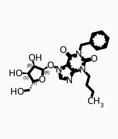 CCCCn1c(=O)n(Cc2ccccc2)c(=O)c2c1ncn2O[C@H]1O[C@H](CO)[C@@H](O)[C@H]1O